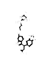 O=C(O)CC(c1ccc2nsnc2c1)c1c[nH]c2cc(OCCCNC3=NC(=O)CN3)ccc12